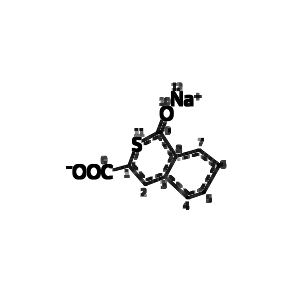 O=C([O-])c1cc2ccccc2c(=O)s1.[Na+]